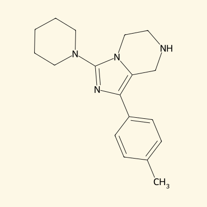 Cc1ccc(-c2nc(N3CCCCC3)n3c2CNCC3)cc1